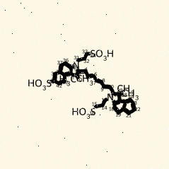 CC1(C)C(=CC=CC=CC=CC2=[N+](CCCS(=O)(=O)O)c3ccc4ccccc4c3C2(C)C)N(CCCS(=O)(=O)O)c2ccc3cc(S(=O)(=O)O)ccc3c21